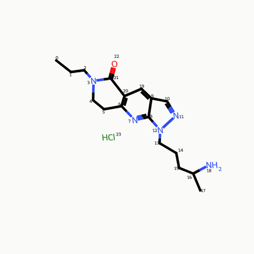 CCCN1CCc2nc3c(cnn3CCCC(C)N)cc2C1=O.Cl